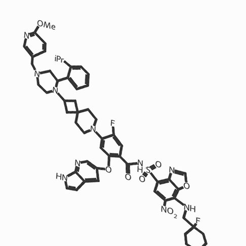 COc1ccc(CN2CCN(C3CC4(CCN(c5cc(Oc6cnc7[nH]ccc7c6)c(C(=O)NS(=O)(=O)c6cc([N+](=O)[O-])c(NCC7(F)CCOCC7)c7ocnc67)cc5F)CC4)C3)C(c3ccccc3C(C)C)C2)cn1